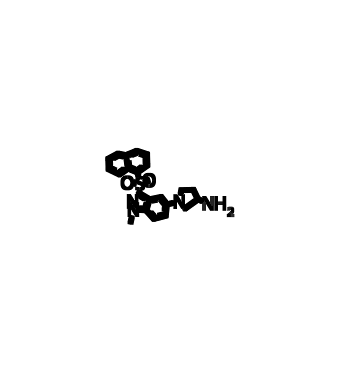 Cn1nc(S(=O)(=O)c2cccc3ccccc23)c2cc(N3CCC(N)C3)ccc21